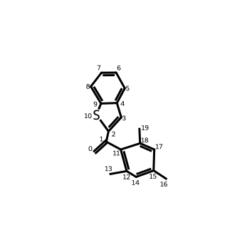 C=C(c1cc2ccccc2s1)c1c(C)cc(C)cc1C